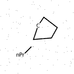 C1CCCC1.[CH2]CCC